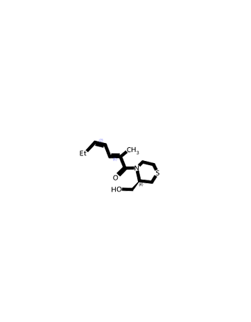 CC/C=C\C=C(/C)C(=O)N1CCSC[C@H]1CO